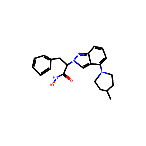 CC1CCN(c2cccc3nn(C(Cc4ccccc4)C(=O)NO)cc23)CC1